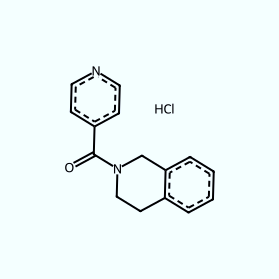 Cl.O=C(c1ccncc1)N1CCc2ccccc2C1